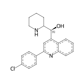 O[C@@H](c1cc(-c2ccc(Cl)cc2)nc2ccccc12)C1CCCCN1